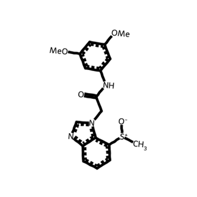 COc1cc(NC(=O)Cn2cnc3cccc([S+](C)[O-])c32)cc(OC)c1